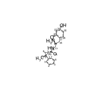 C[C@@]1(c2ccccc2)C[C@H]1C(=O)NC[C@@H](N)Cc1ccc(O)cc1Cl